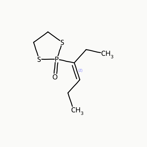 CC/C=C(/CC)P1(=O)SCCS1